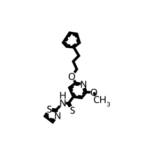 COc1cc(C(=S)Nc2nccs2)cc(OCCCc2ccccc2)n1